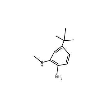 CBc1cc(C(C)(C)C)ccc1N